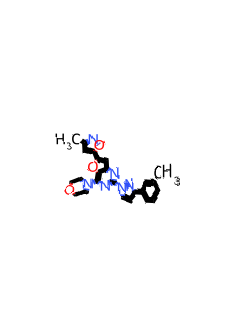 Cc1cccc(-c2ccn(-c3nc(N4CCOCC4)c4oc(-c5cc(C)no5)cc4n3)n2)c1